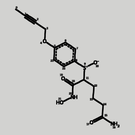 CC#CCOc1ccc([S+]([O-])C(CCCC(N)=O)C(=O)NO)cc1